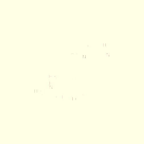 CCOC=Cc1cc2c3ccnc(C)c3c(=O)n(C)c2cc1OCC(C)CC(C)NC(=O)O